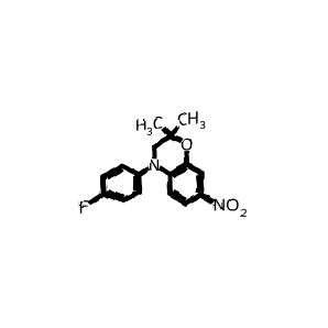 CC1(C)CN(c2ccc(F)cc2)c2ccc([N+](=O)[O-])cc2O1